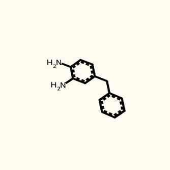 Nc1ccc(Cc2ccccc2)cc1N